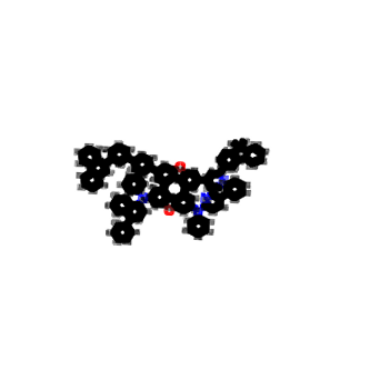 CC1(C)c2ccc(-c3cc(-c4cc5oc6cc(-c7ccc(-c8cccc(-c9cc%10ccccc%10c%10ccccc9%10)c8)cc7)cc7c8cc(N(c9ccccc9)c9ccc(-c%10ccccc%10)c%10ccccc9%10)cc9oc%10cc(N(c%11ccccc%11)c%11ccc(-c%12ccccc%12)cn%11)cc(c(c4)c5c67)c%10c98)ccn3)cc2C2C=CC=CC21